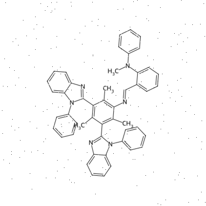 Cc1c(/N=C/c2ccccc2N(C)c2ccccc2)c(C)c(-c2nc3ccccc3n2-c2ccccc2)c(C)c1-c1nc2ccccc2n1-c1ccccc1